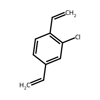 C=Cc1ccc(C=C)c(Cl)c1